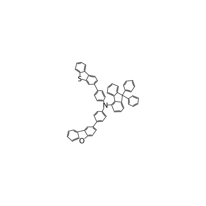 c1ccc(C2(c3ccccc3)c3ccccc3-c3c(N(c4ccc(-c5ccc6c(c5)sc5ccccc56)cc4)c4ccc(-c5ccc6oc7ccccc7c6c5)cc4)cccc32)cc1